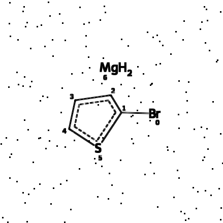 Brc1cccs1.[MgH2]